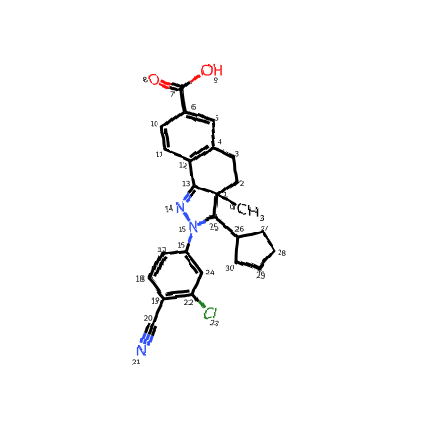 CC12CCc3cc(C(=O)O)ccc3C1=NN(c1ccc(C#N)c(Cl)c1)C2C1CCCC1